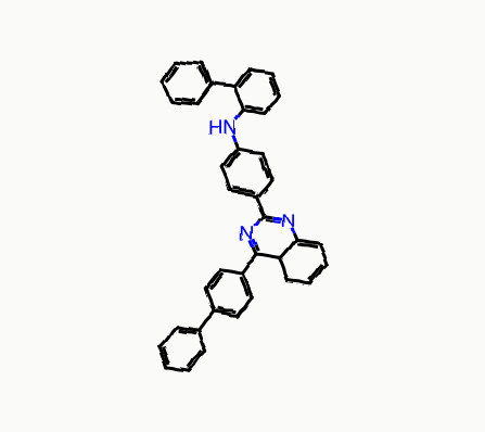 C1=CCC2C(=C1)N=C(c1ccc(Nc3ccccc3-c3ccccc3)cc1)N=C2c1ccc(-c2ccccc2)cc1